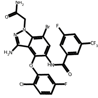 NC(=O)Cn1nc(N)c2c(Oc3cc(F)ccc3Cl)c(NC(=O)c3cc(F)cc(C(F)(F)F)c3)cc(Br)c21